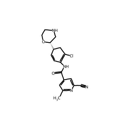 Cc1cc(C(=O)NC2=C(Cl)CC([C@H]3CNCCO3)C=C2)cc(C#N)n1